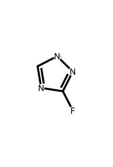 FC1=N[N]C=N1